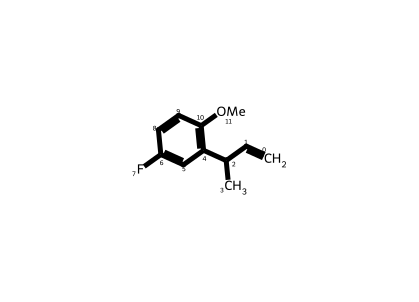 C=C[C](C)c1cc(F)ccc1OC